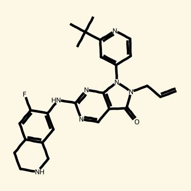 C=CCn1c(=O)c2cnc(Nc3cc4c(cc3F)CCNC4)nc2n1-c1ccnc(C(C)(C)C)c1